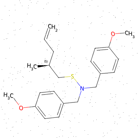 C=CC[C@H](C)CSN(Cc1ccc(OC)cc1)Cc1ccc(OC)cc1